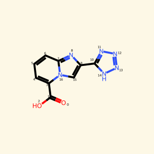 O=C(O)c1cccc2nc(-c3nnn[nH]3)cn12